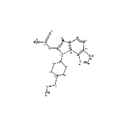 N#CCCN1CCC(n2c(CC(N)=O)nc3cnc4[nH]ccc4c32)CC1